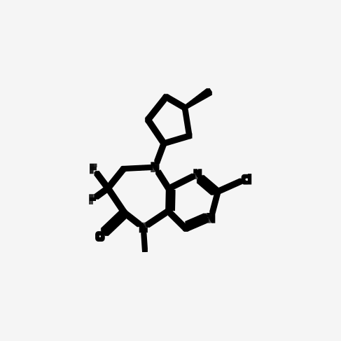 C[C@@H]1CCC(N2CC(F)(F)C(=O)N(C)c3cnc(Cl)nc32)C1